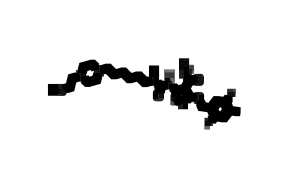 Cc1cc(F)c(COc2nsc(NC(=O)NCCCCCCN3CCN(CCO)CC3)c2C(N)=O)cc1F